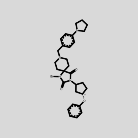 CCN1C(=O)N(C2CC[C@H](Oc3ccccc3)C2)C(=O)C12CCN(Cc1ccc(N3CCCC3)cc1)CC2